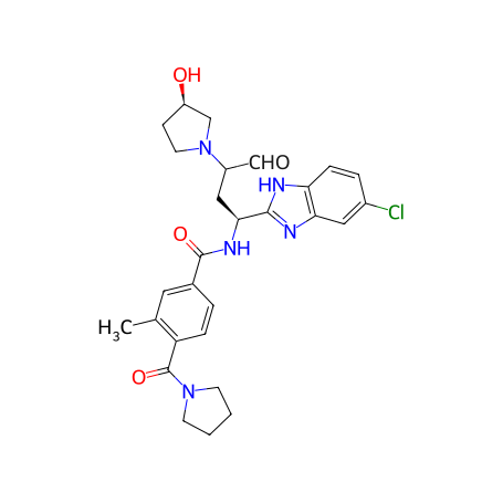 Cc1cc(C(=O)N[C@@H](CC(C=O)N2CC[C@@H](O)C2)c2nc3cc(Cl)ccc3[nH]2)ccc1C(=O)N1CCCC1